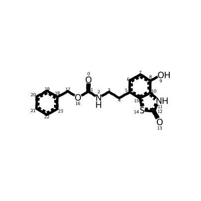 O=C(NCCc1ccc(O)c2[nH]c(=O)sc12)OCc1ccccc1